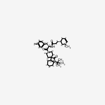 CN1C=CC[C@H](CCC(=O)N[C@H](Cc2ccc(F)cc2)C(=O)N2CCC(C(=O)NC(C)(C)C)(C3CCCCC3)CC2)C1